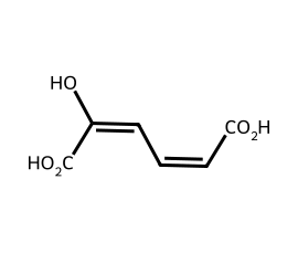 O=C(O)/C=C\C=C(\O)C(=O)O